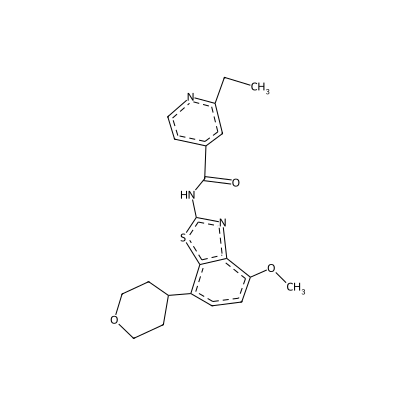 CCc1cc(C(=O)Nc2nc3c(OC)ccc(C4CCOCC4)c3s2)ccn1